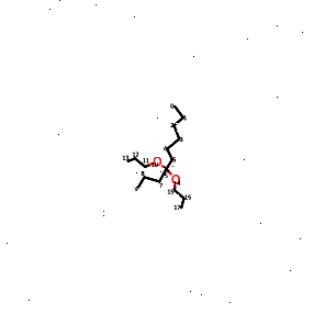 CCCCCCC(CCC)(OCCC)OCCC